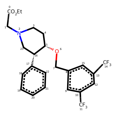 CCOC(=O)CN1CC[C@H](OCc2cc(C(F)(F)F)cc(C(F)(F)F)c2)[C@H](c2ccccc2)C1